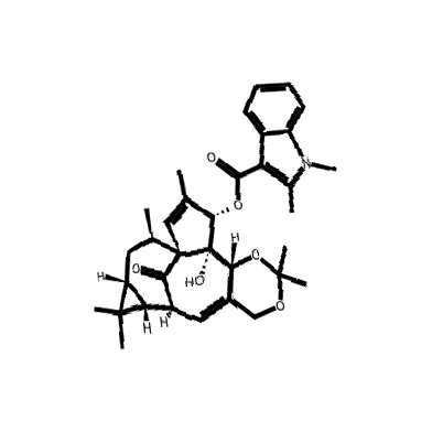 CC1=C[C@]23C(=O)[C@@H](C=C4COC(C)(C)O[C@H]4[C@]2(O)[C@H]1OC(=O)c1c(C)n(C)c2ccccc12)[C@H]1[C@@H](C[C@H]3C)C1(C)C